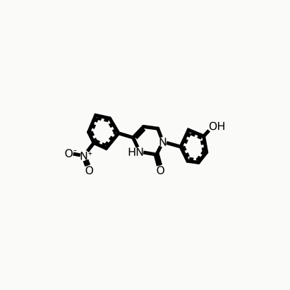 O=C1NC(c2cccc([N+](=O)[O-])c2)=CCN1c1cccc(O)c1